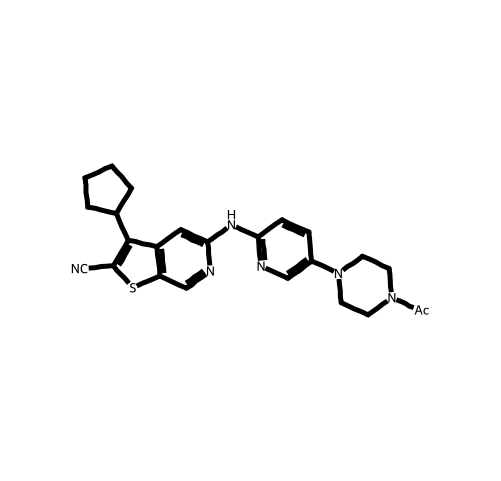 CC(=O)N1CCN(c2ccc(Nc3cc4c(C5CCCC5)c(C#N)sc4cn3)nc2)CC1